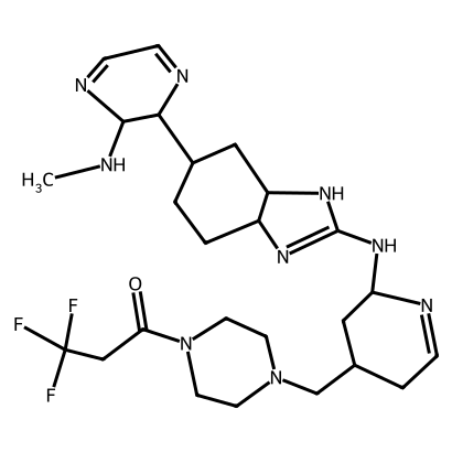 CNC1N=CC=NC1C1CCC2N=C(NC3CC(CN4CCN(C(=O)CC(F)(F)F)CC4)CC=N3)NC2C1